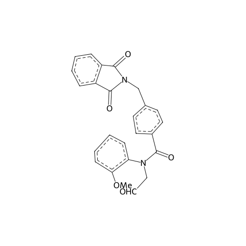 COc1ccccc1N(CC=O)C(=O)c1ccc(CN2C(=O)c3ccccc3C2=O)cc1